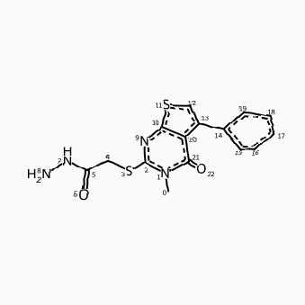 Cn1c(SCC(=O)NN)nc2scc(-c3ccccc3)c2c1=O